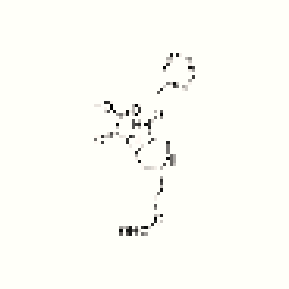 O=C(O)C(=O)O.O=COCCC1CCC(NOCc2ccccc2)CN1